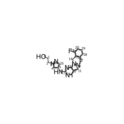 OCCn1cc(Nc2ncc3cnn(Cc4c(F)cccc4F)c3n2)cn1